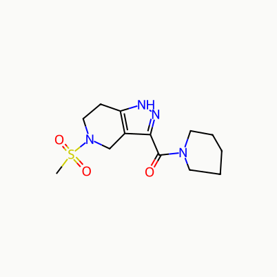 CS(=O)(=O)N1CCc2[nH]nc(C(=O)N3CCCCC3)c2C1